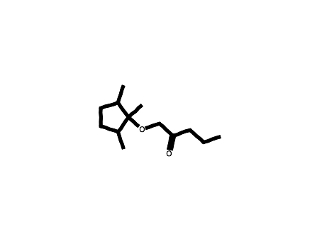 CCCC(=O)COC1(C)C(C)CCC1C